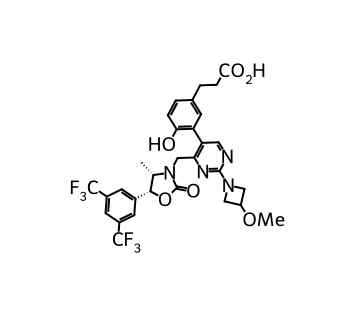 COC1CN(c2ncc(-c3cc(CCC(=O)O)ccc3O)c(CN3C(=O)O[C@H](c4cc(C(F)(F)F)cc(C(F)(F)F)c4)[C@@H]3C)n2)C1